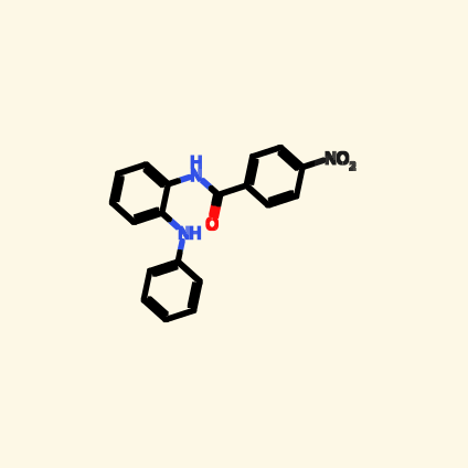 O=C(Nc1ccccc1Nc1ccccc1)c1ccc([N+](=O)[O-])cc1